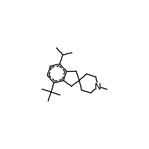 CC(C)c1ccc(C(C)(C)C)c2c1CC1(CCN(C)CC1)C2